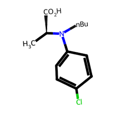 CCCCN(c1ccc(Cl)cc1)[C@@H](C)C(=O)O